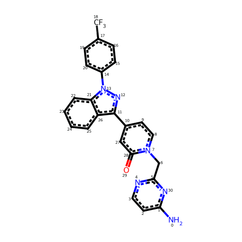 Nc1ccnc(Cn2ccc(-c3nn(-c4ccc(C(F)(F)F)cc4)c4ccccc34)cc2=O)n1